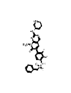 Cn1c(=O)c(-c2ccc(NS(=O)(=O)Cc3ccccc3)c(F)c2F)cc2cnc(N[C@H]3CCCNC3)nc21